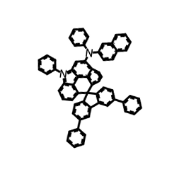 c1ccc(-c2ccc3c(c2)-c2cc(-c4ccccc4)ccc2C32c3cccc4c(N(c5ccccc5)c5ccc6ccccc6c5)cc5c(c34)c3c2cccc3n5-c2ccccc2)cc1